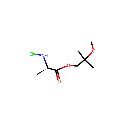 COC(C)(C)COC(=O)[C@H](C)NCl